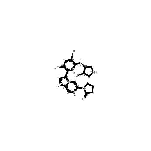 O=C1CCCN1c1cn2c(-c3nc(NC4CNCC4F)c(F)cc3F)cnc2cn1